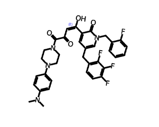 CN(C)c1ccc(N2CCN(C(=O)C(=O)/C=C(/O)c3cc(Cc4ccc(F)c(F)c4F)cn(Cc4ccccc4F)c3=O)CC2)cc1